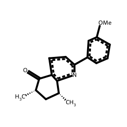 COc1cccc(-c2ccc3c(n2)[C@H](C)C[C@H](C)C3=O)c1